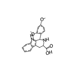 COc1ccc(C2NC(C(=O)O)Cc3c2[nH]c2ccccc32)c(OC)c1